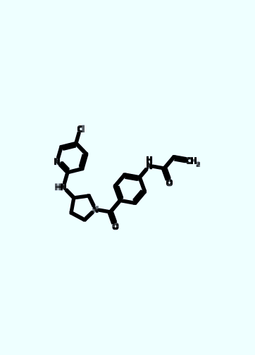 C=CC(=O)Nc1ccc(C(=O)N2CCC(Nc3ccc(Cl)cn3)C2)cc1